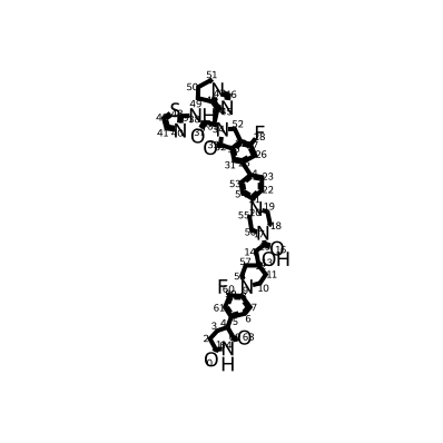 O=C1CCC(c2ccc(N3CCC(O)(CC(=O)N4CCN(c5ccc(-c6cc(F)c7c(c6)C(=O)N(C(C(=O)Nc6nccs6)c6ncn8c6CCC8)C7)cc5)CC4)CC3)c(F)c2)C(=O)N1